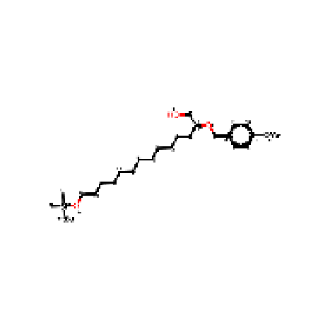 COc1ccc(CO[C@H](CO)CCCCCCCCCCCCO[Si](C)(C)C(C)(C)C)cc1